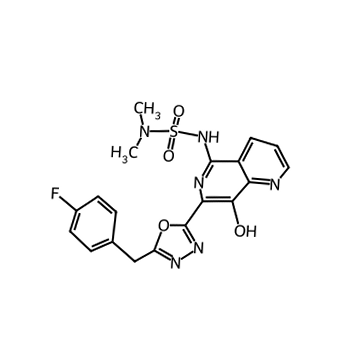 CN(C)S(=O)(=O)Nc1nc(-c2nnc(Cc3ccc(F)cc3)o2)c(O)c2ncccc12